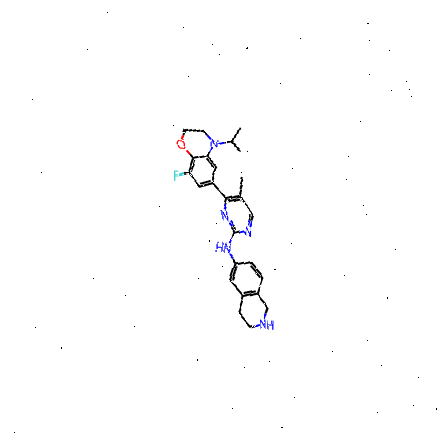 Cc1cnc(Nc2ccc3c(c2)CCNC3)nc1-c1cc(F)c2c(c1)N(C(C)C)CCO2